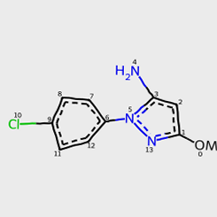 COc1cc(N)n(-c2ccc(Cl)cc2)n1